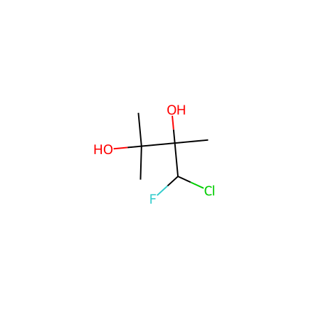 CC(C)(O)C(C)(O)C(F)Cl